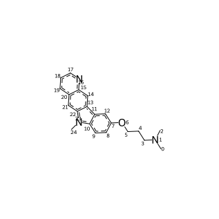 CN(C)CCCOc1ccc2c(c1)c1cc3ncccc3cc1n2C